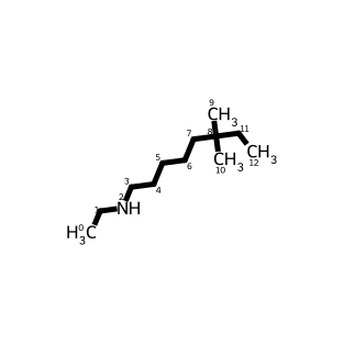 CCNCCCCCC(C)(C)CC